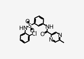 Cc1cnc(C(=O)Nc2cccc(S(=O)(=O)Nc3ccccc3Cl)c2)cn1